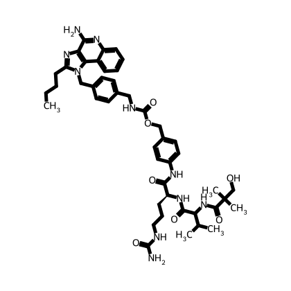 CCCCc1nc2c(N)nc3ccccc3c2n1Cc1ccc(CNC(=O)OCc2ccc(NC(=O)[C@H](CCCNC(N)=O)NC(=O)C(NC(=O)C(C)(C)CO)C(C)C)cc2)cc1